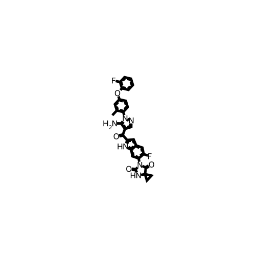 Cc1cc(Oc2ccccc2F)ccc1-n1ncc(C(=O)c2cc3cc(F)c(N4C(=O)NC5(CC5)C4=O)cc3[nH]2)c1N